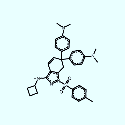 Cc1ccc(S(=O)(=O)n2nc(NC3CCC3)c3c2CC(c2ccc(N(C)C)cc2)(c2ccc(N(C)C)cc2)C=C3)cc1